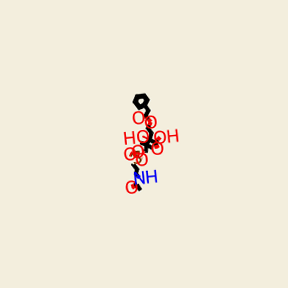 CC(=O)NCCCS(=O)(=O)OCC(C)(C)[C@](O)(CCOC(=O)Cc1ccccc1)C(=O)O